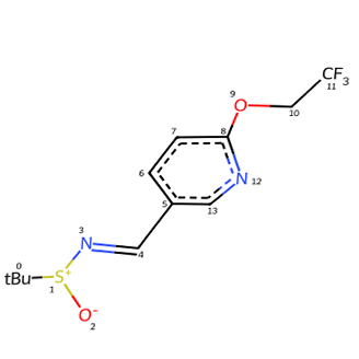 CC(C)(C)[S+]([O-])N=Cc1ccc(OCC(F)(F)F)nc1